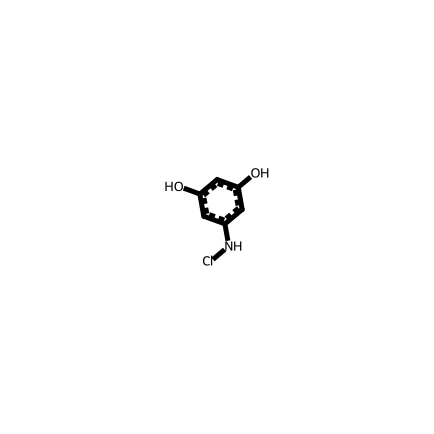 Oc1cc(O)cc(NCl)c1